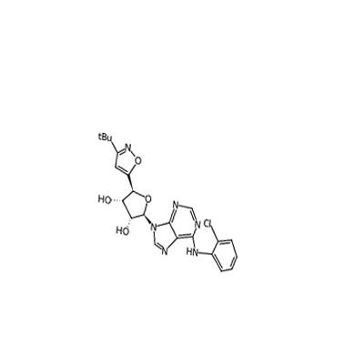 CC(C)(C)c1cc([C@H]2O[C@@H](n3cnc4c(Nc5ccccc5Cl)ncnc43)[C@H](O)[C@@H]2O)on1